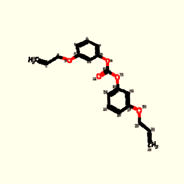 C=CCOc1cccc(OC(=O)Oc2cccc(OCC=C)c2)c1